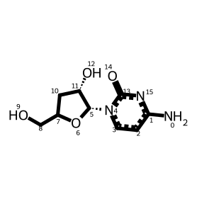 Nc1ccn([C@@H]2OC(CO)C[C@@H]2O)c(=O)n1